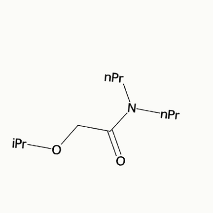 CCCN(CCC)C(=O)COC(C)C